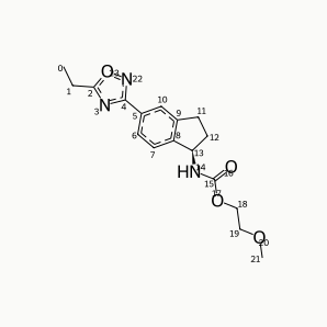 CCc1nc(-c2ccc3c(c2)CC[C@H]3NC(=O)OCCOC)no1